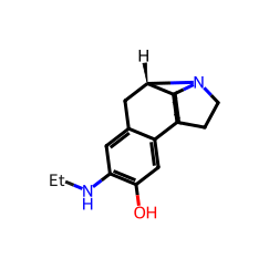 CCNc1cc2c(cc1O)[C@]13CCCC[C@]14[C@H](C2)N4CC3